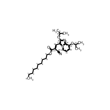 CCCCCCCCCCOC(=O)C(C#N)=Cc1c(OC(C)C)nc2c(OC(C)C)cccn12